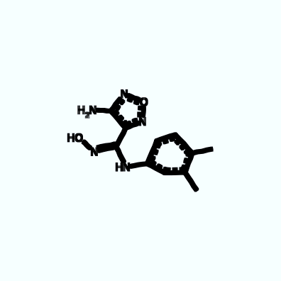 Cc1ccc(N/C(=N/O)c2nonc2N)cc1C